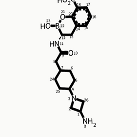 NC1CN(C2CCC(CC(=O)N[C@H]3Cc4cccc(C(=O)O)c4OB3O)CC2)C1